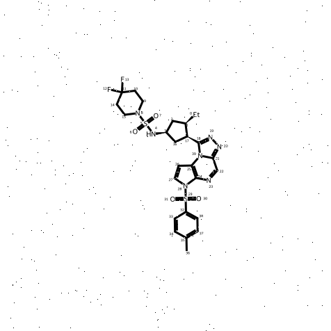 CC[C@@H]1C[C@H](NS(=O)(=O)N2CCC(F)(F)CC2)C[C@@H]1c1nnc2cnc3c(ccn3S(=O)(=O)c3ccc(C)cc3)n12